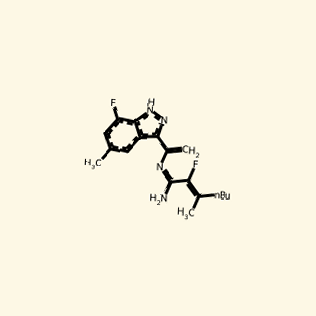 C=C(/N=C(N)\C(F)=C(/C)CCCC)c1n[nH]c2c(F)cc(C)cc12